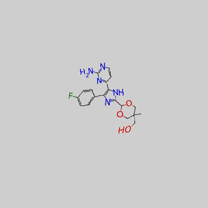 CC1(CO)COC(c2nc(-c3ccc(F)cc3)c(-c3ccnc(N)n3)[nH]2)OC1